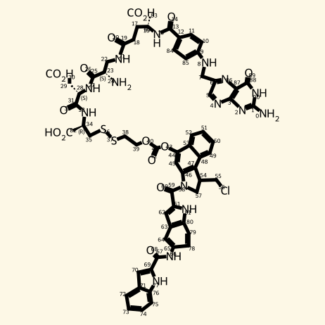 Nc1nc2ncc(CNc3ccc(C(=O)N[C@H](CCC(=O)NC[C@H](N)C(=O)N[C@@H](CC(=O)O)C(=O)N[C@@H](CSSCCOC(=O)Oc4cc5c(c6ccccc46)C(CCl)CN5C(=O)c4cc5cc(NC(=O)c6cc7ccccc7[nH]6)ccc5[nH]4)C(=O)O)C(=O)O)cc3)nc2c(=O)[nH]1